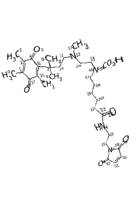 CC1=C(C)C(=O)C(C(C)(C)CCN(C)CCN(CCCCCC(=O)NCCN2C(=O)C=CC2=O)C(=O)O)=C(C)C1=O